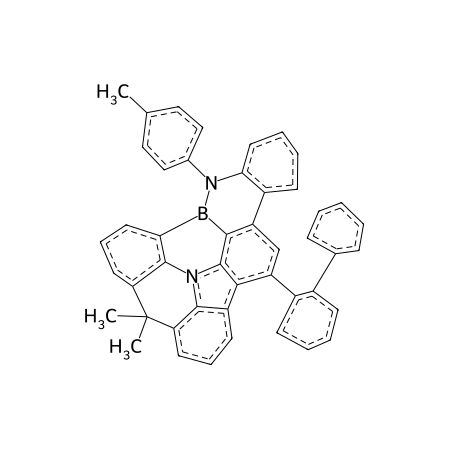 Cc1ccc(N2B3c4cccc5c4-n4c6c(cccc6c6c(-c7ccccc7-c7ccccc7)cc(c3c64)-c3ccccc32)C5(C)C)cc1